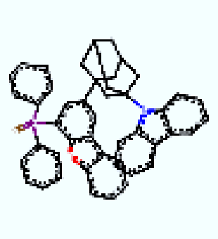 S=P(c1ccccc1)(c1ccccc1)c1cc(C23CC4CC(C2)CC(n2c5ccccc5c5ccccc52)(C4)C3)cc2c1oc1ccccc12